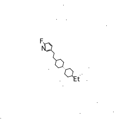 CC[C@H]1CC[C@H](C2CCC(CCc3ccc(F)nc3)CC2)CC1